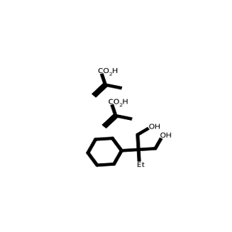 C=C(C)C(=O)O.C=C(C)C(=O)O.CCC(CO)(CO)C1CCCCC1